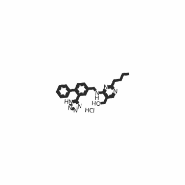 CCCCc1ncc(CO)c(NCc2ccc(-c3ccccc3)c(-c3nnn[nH]3)c2)n1.Cl